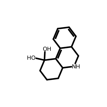 OC1(O)CCCC2NCC3C=CC=CC3=C21